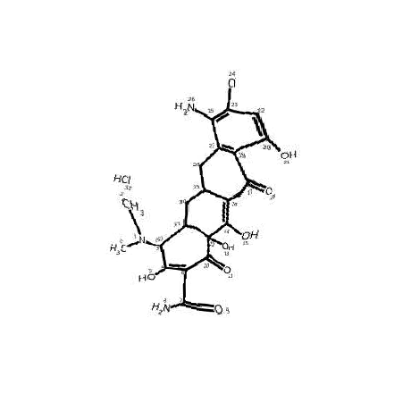 CN(C)[C@@H]1C(O)=C(C(N)=O)C(=O)C2(O)C(O)=C3C(=O)c4c(O)cc(Cl)c(N)c4CC3CC12.Cl